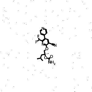 CC(C)C[C@@](C)(COc1nc(C(F)F)c(-c2ccncc2)cc1C#N)OC(N)=O